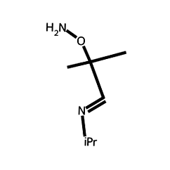 CC(C)N=CC(C)(C)ON